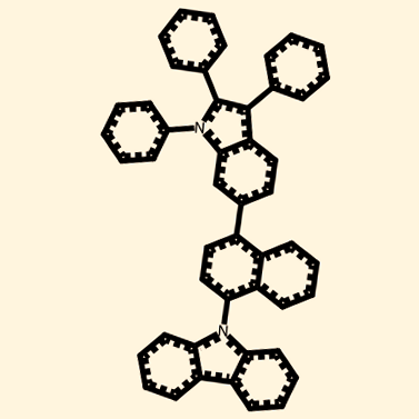 c1ccc(-c2c(-c3ccccc3)n(-c3ccccc3)c3cc(-c4ccc(-n5c6ccccc6c6ccccc65)c5ccccc45)ccc23)cc1